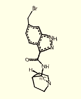 O=C(N[C@@H]1CN2CCC1CC2)c1n[nH]c2cc(CBr)ccc12